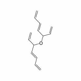 C=CC=CC(C=C)OC(C=C)C=CC=C